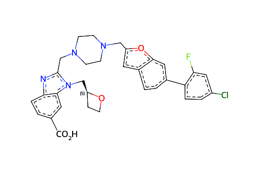 O=C(O)c1ccc2nc(CN3CCN(Cc4cc5ccc(-c6ccc(Cl)cc6F)cc5o4)CC3)n(C[C@@H]3CCO3)c2c1